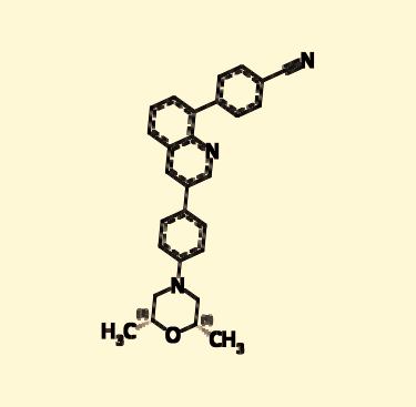 C[C@@H]1CN(c2ccc(-c3cnc4c(-c5ccc(C#N)cc5)cccc4c3)cc2)C[C@H](C)O1